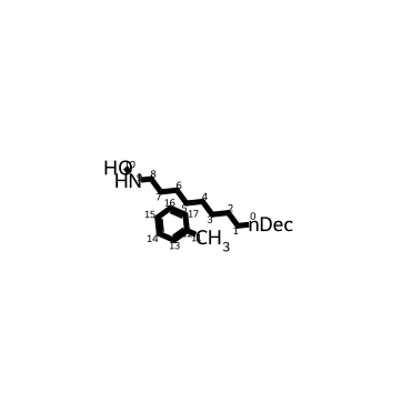 CCCCCCCCCCCCCCCCCCNO.Cc1ccccc1